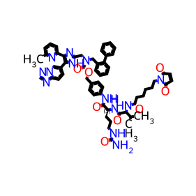 Cc1cccc(-c2nc(CN(Cc3ccccc3-c3ccccc3)C(=O)OCc3ccc(NC(=O)[C@H](CCCNC(N)=O)NC(=O)C(NC(=O)CCCCCN4C(=O)C=CC4=O)C(C)C)cc3)[nH]c2-c2ccc3ncnn3c2)n1